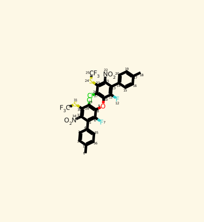 Cc1ccc(-c2c(F)c(Oc3c(F)c(-c4ccc(C)cc4)c([N+](=O)[O-])c(SC(F)(F)F)c3Cl)c(Cl)c(SC(F)(F)F)c2[N+](=O)[O-])cc1